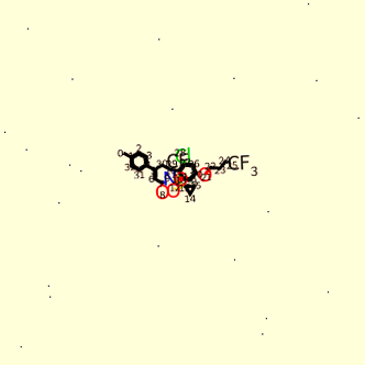 Cc1ccc(C2=CC(=O)N(S(=O)(=O)C3CC3)C(c3ccc(OCCCC(F)(F)F)cc3Cl)(C(F)(F)F)C2)cc1